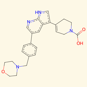 O=C(O)N1CC=C(c2c[nH]c3ncc(-c4ccc(CN5CCOCC5)cc4)cc23)CC1